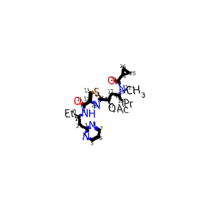 CC[C@H](Cc1ncccn1)NC(=O)c1csc([C@@H](CC(C(C)C)N(C)C(=O)C2CC2)OC(C)=O)n1